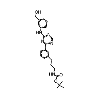 CC(C)(C)OC(=O)NCCCc1cccc(-c2ncnc(Nc3cccc(CO)c3)n2)c1